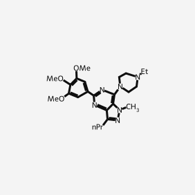 CCCc1nn(C)c2c(N3CCN(CC)CC3)nc(-c3cc(OC)c(OC)c(OC)c3)nc12